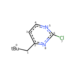 [CH2]C(C)(C)Cc1ccnc(Cl)n1